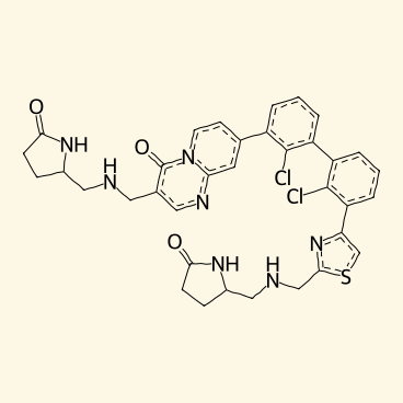 O=C1CCC(CNCc2nc(-c3cccc(-c4cccc(-c5ccn6c(=O)c(CNCC7CCC(=O)N7)cnc6c5)c4Cl)c3Cl)cs2)N1